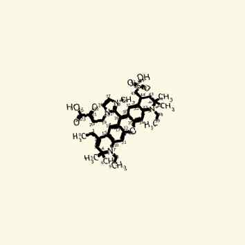 CCC1=CC(C)(C)N(CC)c2cc3c(cc21)C(c1n(CCC(=O)C(=O)O)cc[n+]1C)=c1cc2c(cc1O3)=[N+](CC)C(C)(C)CC2CS(=O)(=O)O